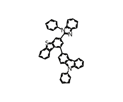 c1ccc(-n2c(-c3cc(-c4ccc5c(c4)c4ccccc4n5-c4ccccc4)c4c(c3)sc3ccccc34)nc3ccccc32)cc1